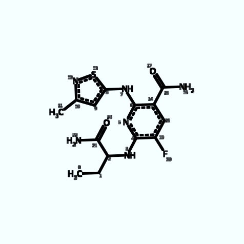 CCC(Nc1nc(Nc2cc(C)ns2)c(C(N)=O)cc1F)C(N)=O